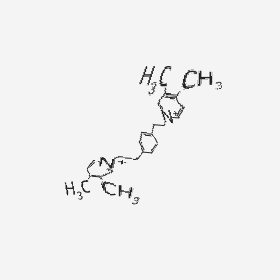 Cc1cc[n+](CCc2ccc(CC[n+]3ccc(C)c(C)c3)cc2)cc1C